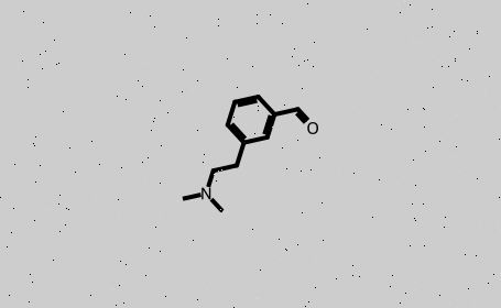 CN(C)CCc1cccc(C=O)c1